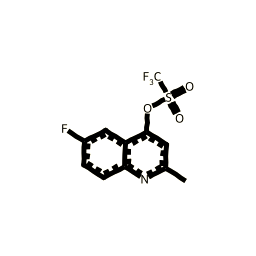 Cc1cc(OS(=O)(=O)C(F)(F)F)c2cc(F)ccc2n1